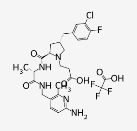 Cc1nc(N)ccc1CNC(=O)[C@H](C)NC(=O)[C@H]1C[C@H](Cc2ccc(F)c(Cl)c2)CN1CCC(=O)O.O=C(O)C(F)(F)F